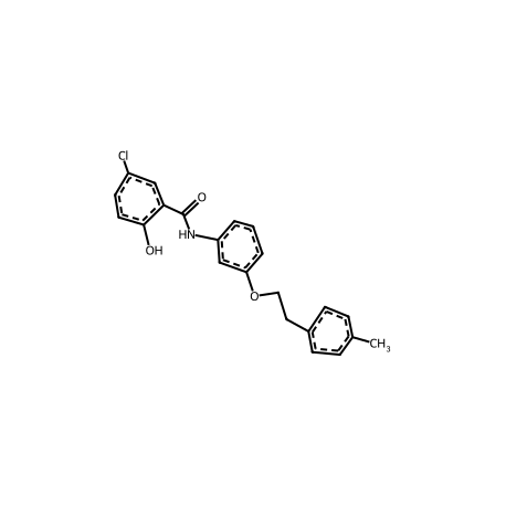 Cc1ccc(CCOc2cccc(NC(=O)c3cc(Cl)ccc3O)c2)cc1